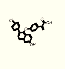 C=C(C(=O)O)c1ccc(Oc2c(-c3ccc(Cl)cc3)ccc3cc(O)ccc23)cc1